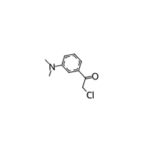 CN(C)c1cccc(C(=O)CCl)c1